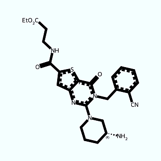 CCOC(=O)CCNC(=O)c1cc2nc(N3CCC[C@@H](N)C3)n(Cc3ccccc3C#N)c(=O)c2s1